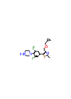 Cc1nc(COCC2CC2)c(-c2cc(F)c(N3CCNCC3)c(F)c2)s1